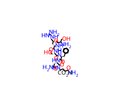 N=C(N)NCCC[C@H](NC(=O)[C@@H](N)CO)C(=O)N[C@@H](CO)C(=O)N[C@@H](Cc1ccccc1)C(=O)N[C@@H](CC(N)=O)C(=O)N[C@@H](CCC(N)=O)C(=O)O